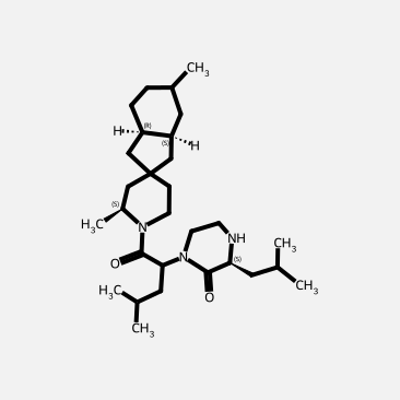 CC(C)CC(C(=O)N1CCC2(C[C@H]3CCC(C)C[C@H]3C2)C[C@@H]1C)N1CCN[C@@H](CC(C)C)C1=O